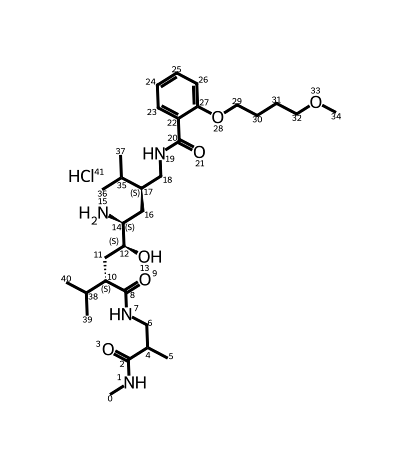 CNC(=O)C(C)CNC(=O)[C@@H](C[C@H](O)[C@@H](N)C[C@H](CNC(=O)c1ccccc1OCCCCOC)C(C)C)C(C)C.Cl